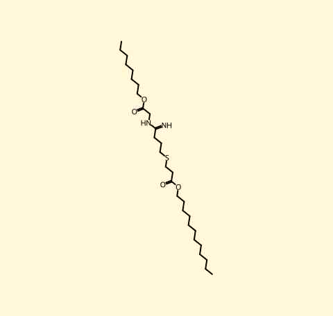 CCCCCCCCCCCCOC(=O)CCSCCCC(=N)NCC(=O)OCCCCCCCC